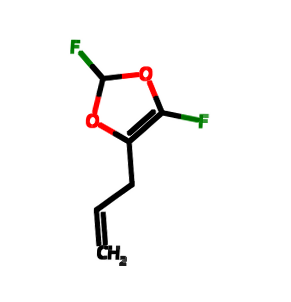 C=CCC1=C(F)OC(F)O1